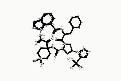 CC(C)(O)c1cnnn1[C@H]1C[C@@H](C(=O)NC2(C(=O)C(N)=O)CCS(O)(O)CC2)N(C(=O)C(CC2CCCCC2)NC(=O)c2cccc3cn[nH]c23)C1